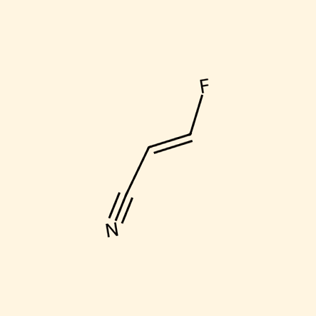 N#CC=CF